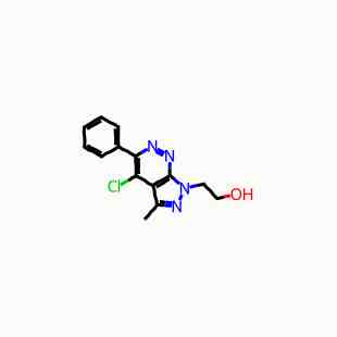 Cc1nn(CCO)c2nnc(-c3ccccc3)c(Cl)c12